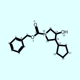 O=C(OCc1ccccc1)N1CC(O)C(C2CCCC2)C1